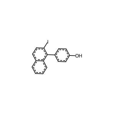 Oc1ccc(-c2c(I)ccc3ccccc23)cc1